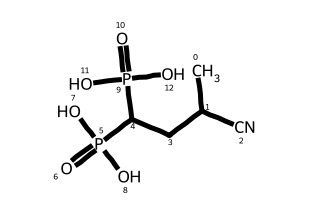 CC(C#N)CC(P(=O)(O)O)P(=O)(O)O